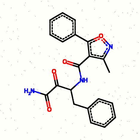 Cc1noc(-c2ccccc2)c1C(=O)NC(Cc1ccccc1)C(=O)C(N)=O